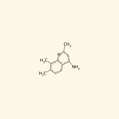 Cc1cc(N)c2ccc(C)c(C)c2n1